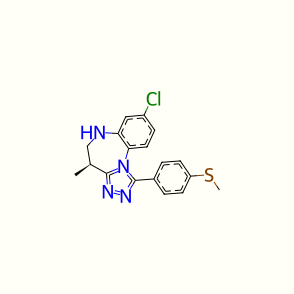 CSc1ccc(-c2nnc3n2-c2ccc(Cl)cc2NC[C@@H]3C)cc1